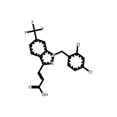 O=C(O)C=Cc1nn(Cc2ccc(Cl)cc2Cl)c2cc(C(F)(F)F)ccc12